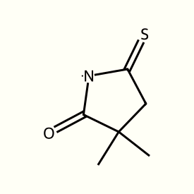 CC1(C)CC(=S)[N]C1=O